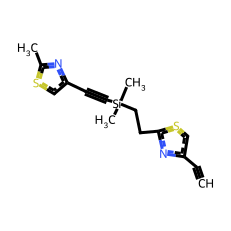 C#Cc1csc(CC[Si](C)(C)C#Cc2csc(C)n2)n1